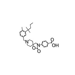 CCCC(C)(C)c1cc(CN2CCC3(CC2)CN(c2ccc(C(=O)O)cc2)C(=O)O3)ccc1C